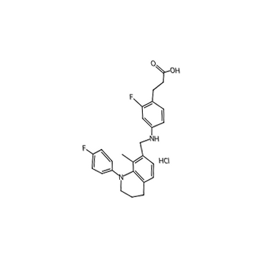 Cc1c(CNc2ccc(CCC(=O)O)c(F)c2)ccc2c1N(c1ccc(F)cc1)CCC2.Cl